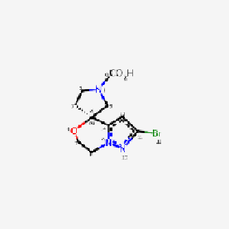 O=C(O)N1CC[C@@]2(C1)OCCn1nc(Br)cc12